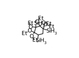 CCOC1([SiH3])CC([SiH3])C(OCC)(OCC)C([SiH3])(OCC)C1(OCC)OCC